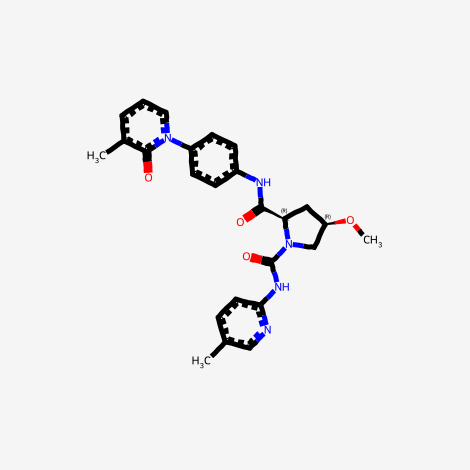 CO[C@@H]1C[C@H](C(=O)Nc2ccc(-n3cccc(C)c3=O)cc2)N(C(=O)Nc2ccc(C)cn2)C1